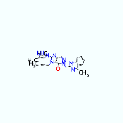 C=C(N)CN(C)c1nc2cnn(Cc3nc(C)c4ccccc4n3)c(=O)c2n1CC#CC